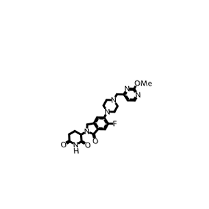 COc1nccc(CN2CCN(c3cc4c(cc3F)C(=O)N(C3CCC(=O)NC3=O)C4)CC2)n1